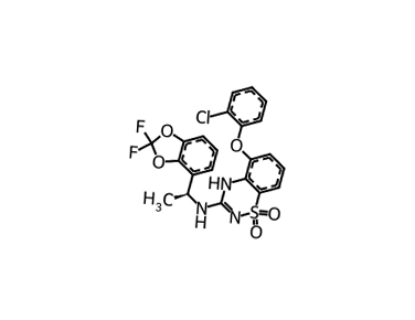 C[C@H](NC1=NS(=O)(=O)c2cccc(Oc3ccccc3Cl)c2N1)c1cccc2c1OC(F)(F)O2